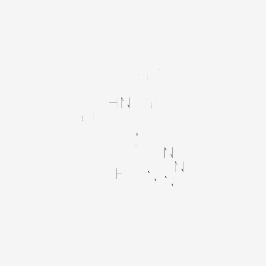 CCn1nnc(-c2cc(NC(=O)OC(C)(C)C)c(Cl)cc2F)n1